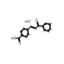 Cl.O=C(O)c1ccc(C=CC(=O)c2ccccc2)cc1